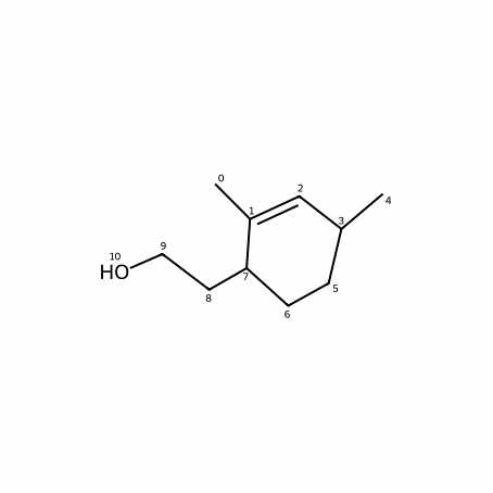 CC1=CC(C)CCC1CCO